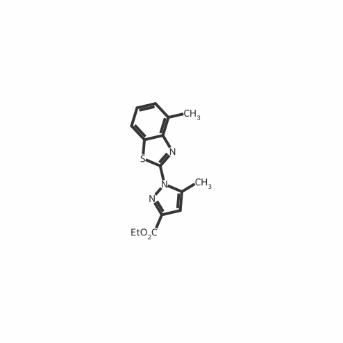 CCOC(=O)c1cc(C)n(-c2nc3c(C)cccc3s2)n1